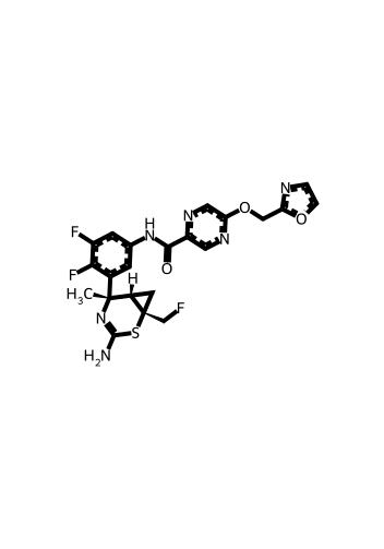 C[C@]1(c2cc(NC(=O)c3cnc(OCc4ncco4)cn3)cc(F)c2F)N=C(N)S[C@@]2(CF)C[C@H]21